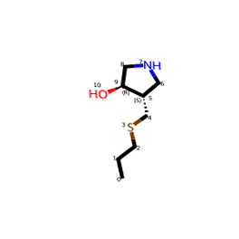 CCCSC[C@H]1CNC[C@@H]1O